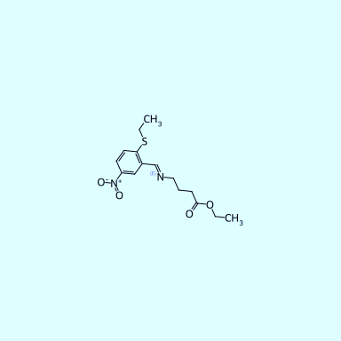 CCOC(=O)CCC/N=C/c1cc([N+](=O)[O-])ccc1SCC